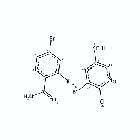 NC(=O)c1ccc(Br)cc1F.O=S(=O)(O)c1cnc(Cl)c(Br)c1